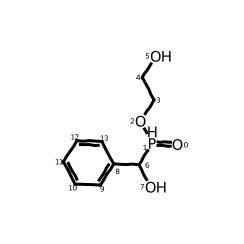 O=[PH](OCCO)C(O)c1ccccc1